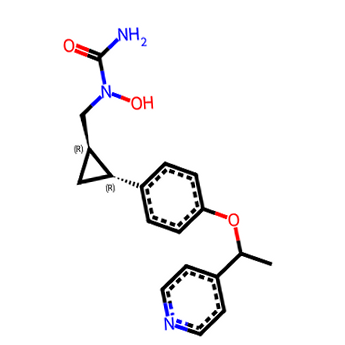 CC(Oc1ccc([C@@H]2C[C@H]2CN(O)C(N)=O)cc1)c1ccncc1